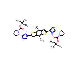 Cc1c2cc(-c3cnc([C@@H]4CCCN4C(=O)OC(C)(C)C)[nH]3)sc2c(C)c2cc(-c3cnc([C@@H]4CCCN4C(=O)OC(C)(C)C)[nH]3)sc12